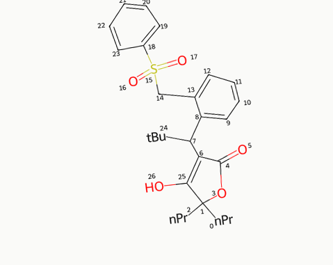 CCCC1(CCC)OC(=O)C(C(c2ccccc2CS(=O)(=O)c2ccccc2)C(C)(C)C)=C1O